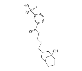 O=C(OCCCC1CC2CCCC(O)(C1)C2)c1cccc(S(=O)(=O)O)c1